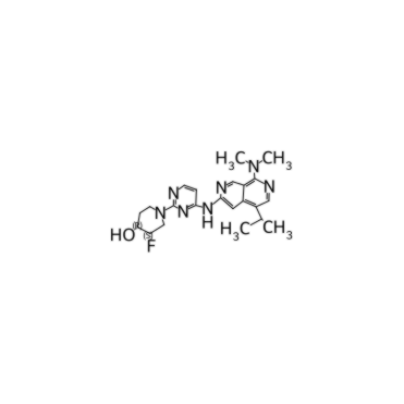 CC(C)c1cnc(N(C)C)c2cnc(Nc3ccnc(N4CC[C@@H](O)[C@@H](F)C4)n3)cc12